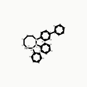 c1ccc(-c2ccc(P3CCCCPP(c4ccccc4)P3c3ccccc3)cc2)cc1